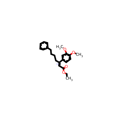 CCOC(=O)/C=C(/CCCCc1ccccc1)c1ccc(OC)c(OC)c1